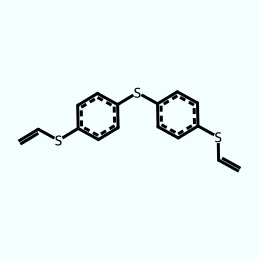 C=CSc1ccc(Sc2ccc(SC=C)cc2)cc1